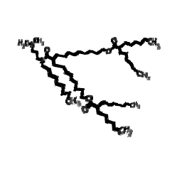 CCCCCCCCCN(CCCN(C)C)C(=O)C(CCCCCCCCCOC(=O)C(CCCCCC)CCCCCC)CCCCCCCCCOC(=O)C(CCCCCC)CCCCCC